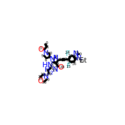 C=CC(=O)N1CCC(n2nc(C#Cc3c(F)cc4c(ncn4CC)c3F)c(C(N)=O)c2NCCCN2CCOCC2)C1